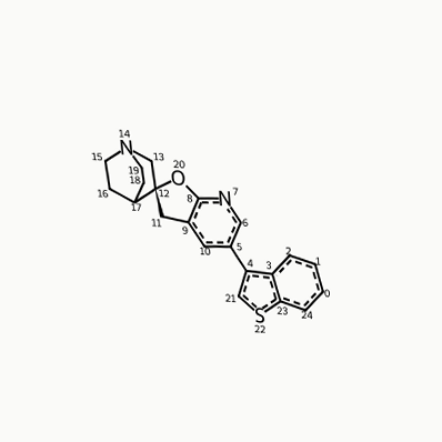 c1ccc2c(-c3cnc4c(c3)C[C@@]3(CN5CCC3CC5)O4)csc2c1